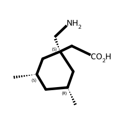 C[C@@H]1C[C@H](C)C[C@@](CN)(CC(=O)O)C1